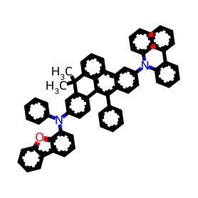 CC1(C)c2cc(N(c3ccccc3)c3cccc4c3oc3ccccc34)ccc2-c2c(-c3ccccc3)c3ccc(N(c4ccccc4)c4ccccc4-c4ccccc4)cc3c3cccc1c23